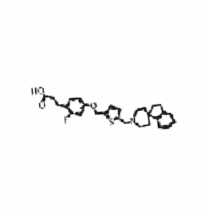 O=C(O)CCc1ccc(OCc2ccc(CN3CCC4(CCc5ccccc54)CC3)s2)cc1F